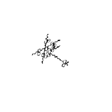 C=C(C)C(=O)OCCCCCCCCCCC(=O)OC(C)c1c(CCOC(=O)CCCC)c(CCOC(=O)CCCC)c(CCOC(=O)CCCC)c(CCOC(=O)CCCC)c1CCOC(=O)CCCC